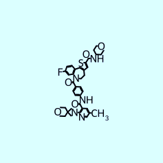 Cc1cnc(N2CC3(CCOCC3)C2)c(C(=O)Nc2ccc(C(=O)N3CCc4cc(C(=O)NC5CCOCC5)sc4-c4ccc(F)cc43)cc2)c1